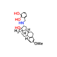 COc1ccc2c(c1)CC[C@@H]1[C@@H]2CC[C@]2(C)[C@@H](O)[C@H](NCc3cccc(O)c3O)C[C@@H]12